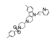 Cc1ccc(S(=O)(=O)N2CCC(N3CCc4c(c5cc(C)ccc5n4/C=C/c4ccccn4)C3)CC2)cc1